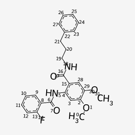 COc1cc(NC(=O)c2ccccc2F)c(C(=O)NCCCc2ccccc2)cc1OC